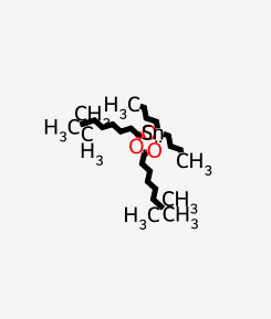 CC(C)(C)CCCCCC(=O)OC(=O)CCCCCC(C)(C)C.CCC[CH2][Sn][CH2]CCC